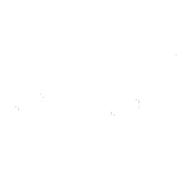 CCOC(=O)NC(CCCCC(=O)Nc1ccccc1N)C(=O)Nc1cccc(SC(F)(F)F)c1